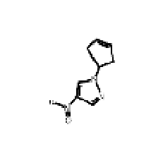 O=[N+]([O-])c1cnn(C2CC=CC2)c1